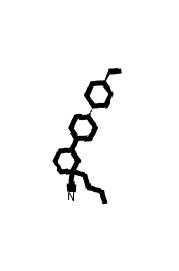 CCCCC1(C#N)CCCC(C2CCC([C@H]3CC[C@H](CC)CC3)CC2)C1